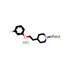 CCCCCN1CCC(CCOc2cccc(F)c2)CC1.Cl